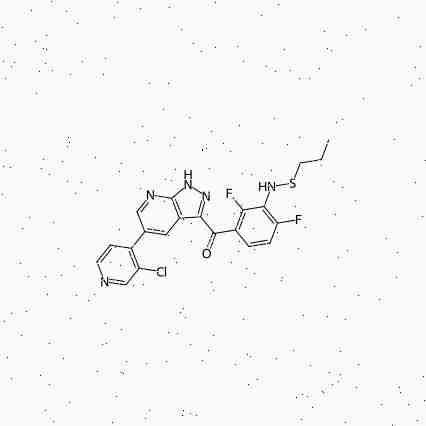 CCCSNc1c(F)ccc(C(=O)c2n[nH]c3ncc(-c4ccncc4Cl)cc23)c1F